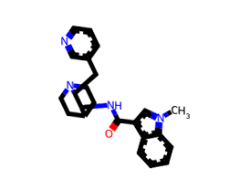 Cn1cc(C(=O)NC2C3CCN(CC3)C2Cc2cccnc2)c2ccccc21